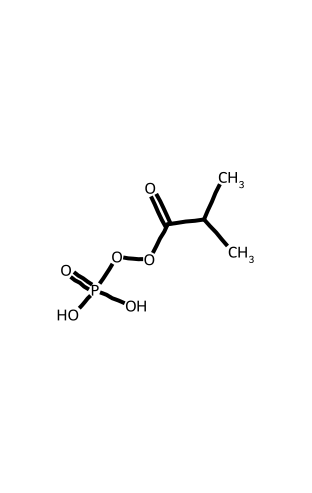 CC(C)C(=O)OOP(=O)(O)O